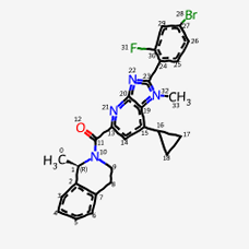 C[C@@H]1c2ccccc2CCN1C(=O)c1cc(C2CC2)c2c(n1)nc(-c1ccc(Br)cc1F)n2C